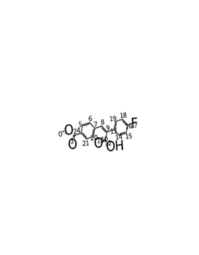 COC(=O)c1ccc(C=C(C(=O)O)c2ccc(F)cc2)cc1